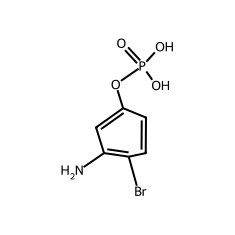 Nc1cc(OP(=O)(O)O)ccc1Br